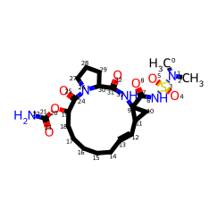 CN(C)S(=O)(=O)NC(=O)C12CC1/C=C/CCCCCC(OC(N)=O)C(=O)N1CCCC1C(=O)N2